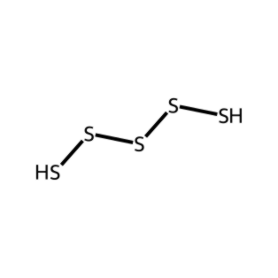 SSSSS